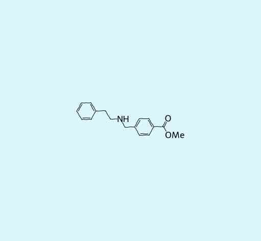 COC(=O)c1ccc(CNCCc2ccccc2)cc1